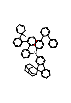 CC1(c2ccccc2-c2ccccc2-c2ccccc2N(c2ccc(-c3ccccc3-c3ccccc3)cc2)c2ccc3c(c2)C2(c4ccccc4-3)C3CC4CC(C3)CC2C4)C=CC=CC1